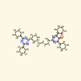 C=C(/C=C\C=C(/C)c1cccc(-c2nc(-c3ccccc3)nc(-c3ccccc3)n2)c1)c1nc(-c2ccccc2)c2oc3ccccc3c2n1